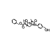 C[C@@H](C(=O)Nc1ccc(CO)cc1)N1CC[C@@](C)(NC(=O)OCc2ccccc2)C1=O